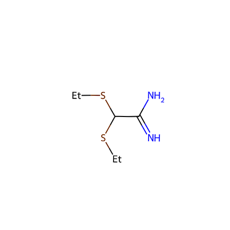 CCSC(SCC)C(=N)N